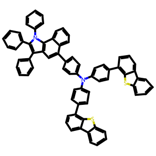 c1ccc(-c2c(-c3ccccc3)n(-c3ccccc3)c3c2cc(-c2ccc(N(c4ccc(-c5cccc6c5sc5ccccc56)cc4)c4ccc(-c5cccc6c5sc5ccccc56)cc4)cc2)c2ccccc23)cc1